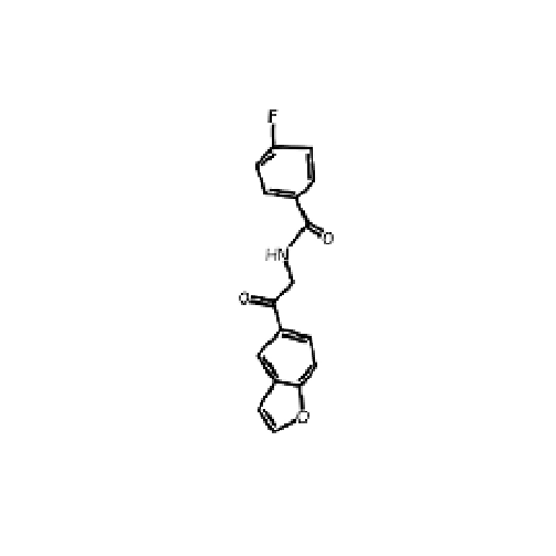 O=C(CNC(=O)c1ccc(F)cc1)c1ccc2occc2c1